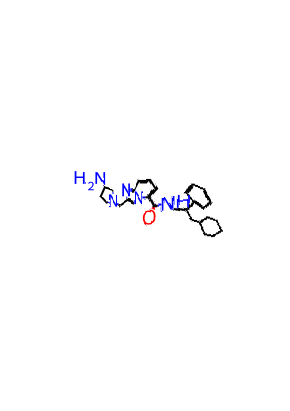 N[C@@H]1CCN(Cc2cn3c(C(=O)NCC(CC4CCCCC4)c4ccccc4)cccc3n2)C1